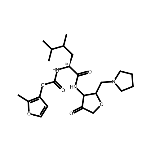 Cc1occc1OC(=O)N[C@@H](CC(C)C(C)C)C(=O)NC1C(=O)COC1CN1CCCC1